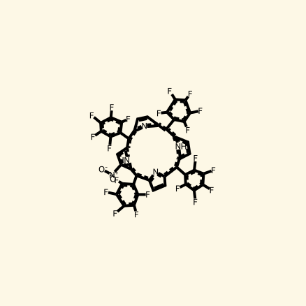 O=[N+]([O-])c1cc2[nH]c1c(-c1c(F)c(F)c(F)c(F)c1F)c1nc(c(-c3c(F)c(F)c(F)c(F)c3F)c3ccc([nH]3)c(-c3c(F)c(F)c(F)c(F)c3F)c3nc(c2-c2c(F)c(F)c(F)c(F)c2F)C=C3)C=C1